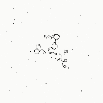 C=CC(=O)N1CCN(c2nc(OCC3CCCN3C)nc3c2CCN(c2ccccc2OC(F)(F)F)C3)CC1CC#N